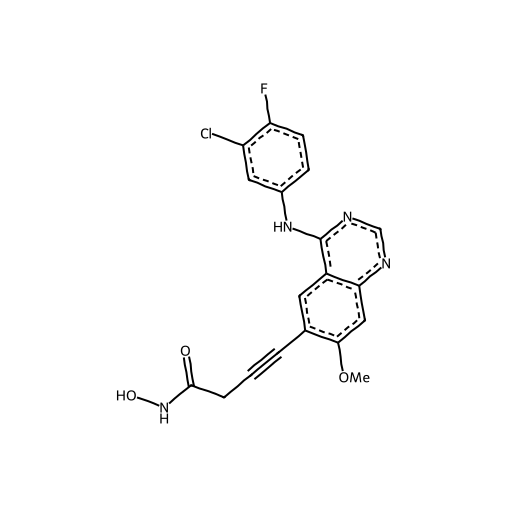 COc1cc2ncnc(Nc3ccc(F)c(Cl)c3)c2cc1C#CCC(=O)NO